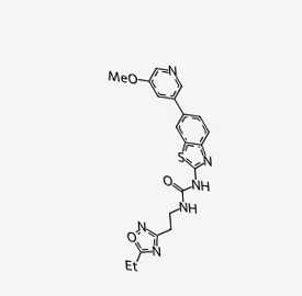 CCc1nc(CCNC(=O)Nc2nc3ccc(-c4cncc(OC)c4)cc3s2)no1